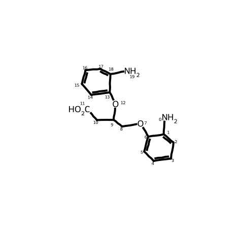 Nc1ccccc1OCC(CC(=O)O)Oc1ccccc1N